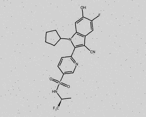 C[C@H](NS(=O)(=O)c1ccc(-c2c(C#N)c3cc(F)c(O)cc3n2C2CCCC2)nc1)C(F)(F)F